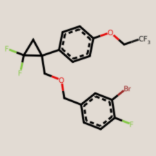 Fc1ccc(COCC2(c3ccc(OCC(F)(F)F)cc3)CC2(F)F)cc1Br